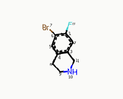 Fc1cc2c(cc1Br)CCNC2